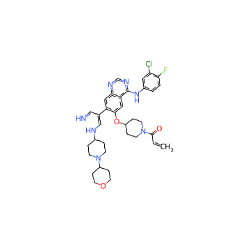 C=CC(=O)N1CCC(Oc2cc3c(Nc4ccc(F)c(Cl)c4)ncnc3cc2/C(C=N)=C/NC2CCN(C3CCOCC3)CC2)CC1